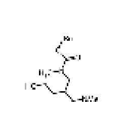 CNCC(CCO)CN(C)C(=O)OC(C)(C)C